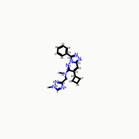 CN(Cc1ncn(C)n1)c1nn2c(-c3ccccc3)nnc2cc1C1CCC1